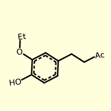 CCOc1cc(CCC(C)=O)ccc1O